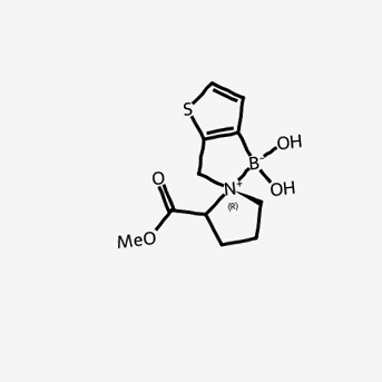 COC(=O)C1CCC[N@+]12Cc1sccc1[B-]2(O)O